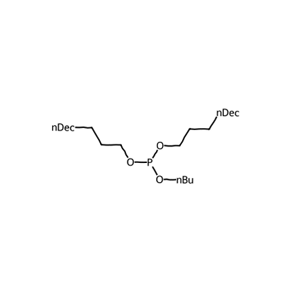 CCCCCCCCCCCCCOP(OCCCC)OCCCCCCCCCCCCC